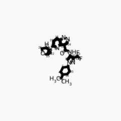 CC(C)C1CCC(n2cc(NC(=O)c3cnnc4ccc(N5CC6C[C@@H]5CO6)nc34)c(C(F)F)n2)CC1